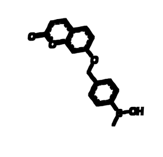 CB(O)c1ccc(COc2ccc3ccc(=O)oc3c2)cc1